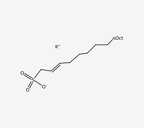 CCCCCCCCCCCCCC=CCS(=O)(=O)[O-].[K+]